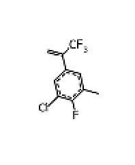 C=C(c1cc(C)c(F)c(Cl)c1)C(F)(F)F